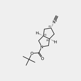 C#[N+][C@H]1C[C@@H]2CN(C(=O)OC(C)(C)C)C[C@@H]2C1